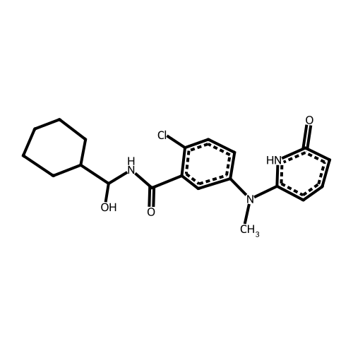 CN(c1ccc(Cl)c(C(=O)NC(O)C2CCCCC2)c1)c1cccc(=O)[nH]1